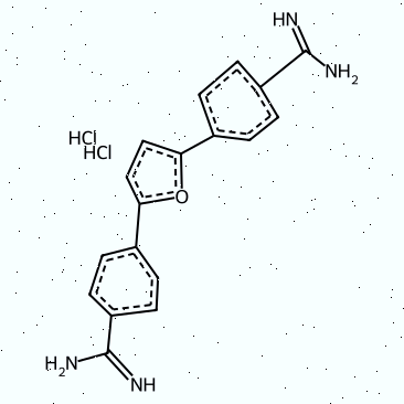 Cl.Cl.N=C(N)c1ccc(-c2ccc(-c3ccc(C(=N)N)cc3)o2)cc1